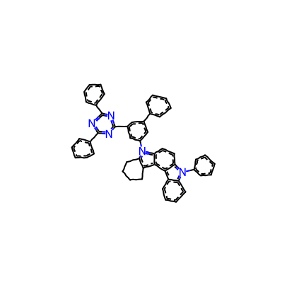 c1ccc(-c2cc(-c3nc(-c4ccccc4)nc(-c4ccccc4)n3)cc(-n3c4c(c5c6c7ccccc7n(-c7ccccc7)c6ccc53)CCCC4)c2)cc1